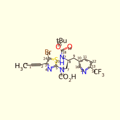 CC#Cc1nc(N(C[C@H](Cc2ccc(C(F)(F)F)nc2)NC(=O)OC(C)(C)C)C(=O)O)sc1Br